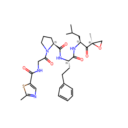 Cc1ncc(C(=O)NCC(=O)N2CCC[C@H]2C(=O)N[C@@H](CCc2ccccc2)C(=O)N[C@@H](CC(C)C)C(=O)[C@@]2(C)CO2)s1